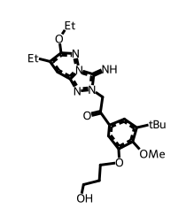 CCOc1nn2c(=N)n(CC(=O)c3cc(OCCCO)c(OC)c(C(C)(C)C)c3)nc2cc1CC